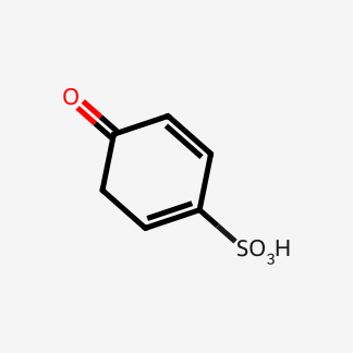 O=C1C=CC(S(=O)(=O)O)=CC1